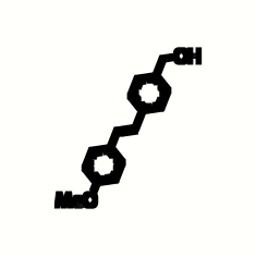 COc1ccc(/C=C/c2ccc(CO)cc2)cc1